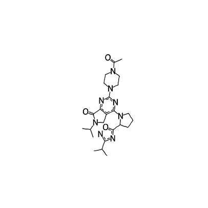 CC(=O)N1CCN(c2nc3c(c(N4CCCC4c4nc(C(C)C)no4)n2)CN(C(C)C)C3=O)CC1